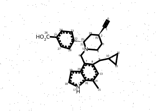 C#C[C@H]1CCN(Cc2c(CC3CC3)cc(C)c3[nH]ccc23)[C@H](c2ccc(C(=O)O)cc2)C1